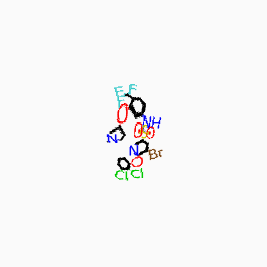 CN1CC[C@@H](Oc2cc(NS(=O)(=O)c3cnc(Oc4cccc(Cl)c4Cl)c(Br)c3)ccc2C(F)(F)F)C1